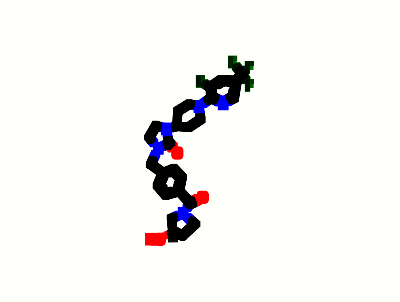 O=C(c1ccc(CN2CCN(C3CCN(c4ncc(C(F)(F)F)cc4F)CC3)C2=O)cc1)N1CC[C@H](O)C1